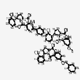 COc1cccc(C(=O)N2[C@@H](c3ccccc3Cl)CC[C@H]2C(=O)O)c1.O=C(O)[C@@H]1CC[C@H](c2ccccc2Cl)N1C(=O)c1cccc(OCc2ccccc2)c1.O=C(O)[C@@H]1CC[C@H](c2ccccc2Cl)N1C(=O)c1cnc(-c2ccccc2)nc1